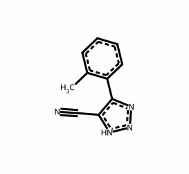 Cc1ccccc1-c1nn[nH]c1C#N